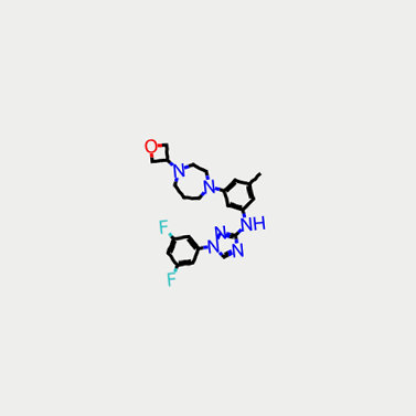 Cc1cc(Nc2ncn(-c3cc(F)cc(F)c3)n2)cc(N2CCCN(C3COC3)CC2)c1